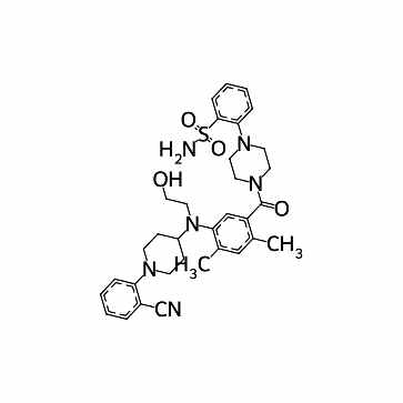 Cc1cc(C)c(N(CCO)C2CCN(c3ccccc3C#N)CC2)cc1C(=O)N1CCN(c2ccccc2S(N)(=O)=O)CC1